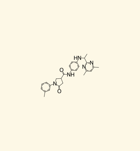 Cc1cccc(N2CC(C(=O)Nc3ccc(NC(C)c4nc(C)cc(C)n4)cc3)CC2=O)c1